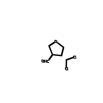 ClCCl.O=CC1CCOC1